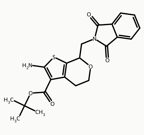 CC(C)(C)OC(=O)c1c(N)sc2c1CCOC2CN1C(=O)c2ccccc2C1=O